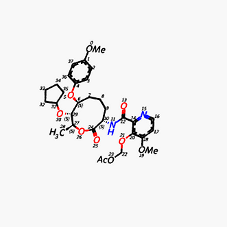 COc1ccc(O[C@H]2CCC[C@H](NC(=O)c3nccc(OC)c3OCOC(C)=O)C(=O)O[C@@H](C)[C@@H]2OC2CCCC2)cc1